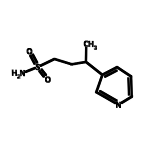 CC(CCS(N)(=O)=O)c1cccnc1